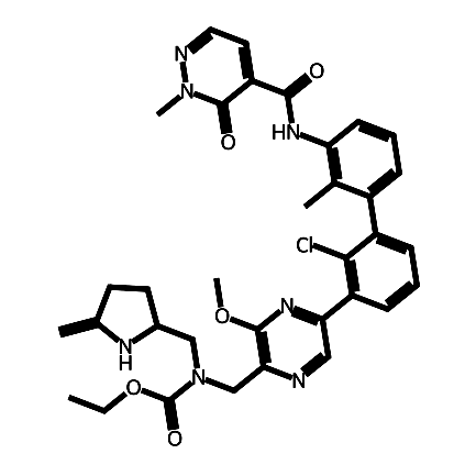 C=C1CCC(CN(Cc2ncc(-c3cccc(-c4cccc(NC(=O)c5ccnn(C)c5=O)c4C)c3Cl)nc2OC)C(=O)OCC)N1